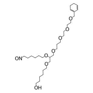 O=NCCCCCCOC(COCCCCCCO)COCCCOCCOCCOCC1=CCCC=C1